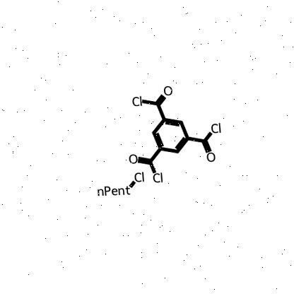 CCCCCCl.O=C(Cl)c1cc(C(=O)Cl)cc(C(=O)Cl)c1